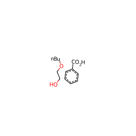 CCCCOCCO.O=C(O)c1ccccc1